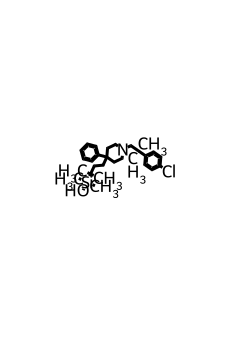 CC(C)(CN1CCC(CCC(C)(C)[Si](C)(C)O)(c2ccccc2)CC1)c1ccc(Cl)cc1